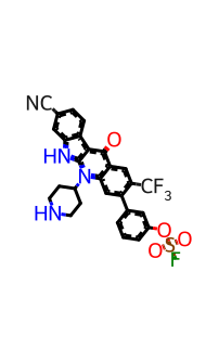 N#Cc1ccc2c(c1)[nH]c1c2c(=O)c2cc(C(F)(F)F)c(-c3cccc(OS(=O)(=O)F)c3)cc2n1C1CCNCC1